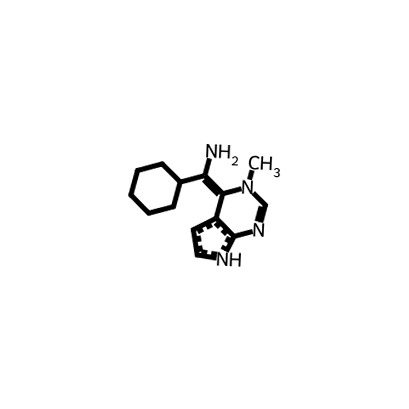 CN1C=Nc2[nH]ccc2/C1=C(/N)C1CCCCC1